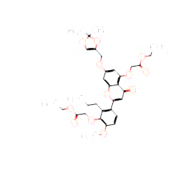 CCCc1c(-c2cc(=O)c3c(OCC(=O)OCC)cc(OCC4=COC(C)(C)O4)cc3o2)ccc(OC)c1OCC(=O)OCC